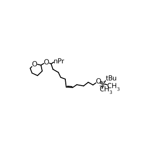 CCCC(CCCC/C=C\CCCCO[Si](C)(C)C(C)(C)C)OC1CCCCO1